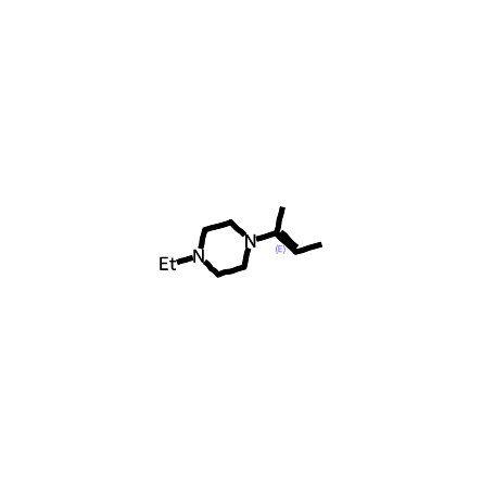 C/C=C(\C)N1CCN(CC)CC1